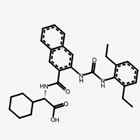 CCc1cccc(CC)c1NC(=O)Nc1cc2ccccc2cc1C(=O)N[C@H](C(=O)O)C1CCCCC1